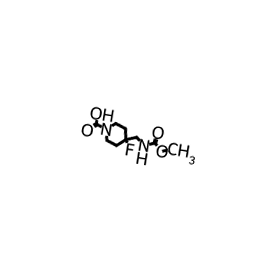 COC(=O)NCC1(F)CCN(C(=O)O)CC1